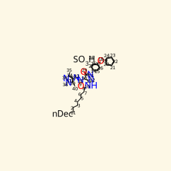 CCCCCCCCCCCCCCCCCC(=O)NC1=NN(c2ccc(Oc3ccccc3)c(S(=O)(=O)O)c2)C(=O)C1/N=N/c1c(C)nn(C)c1C